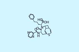 O=C(N[C@H]1CC2=CC3C(C=CS2)CC3N([C@@H](CCCc2ccccc2)B(O)O)C1=O)c1cnccn1